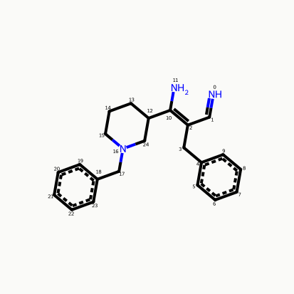 N=C/C(Cc1ccccc1)=C(\N)C1CCCN(Cc2ccccc2)C1